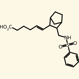 O=C(O)CCCC=CC1C2CCC(C2)C1CNS(=O)(=O)c1ccccc1